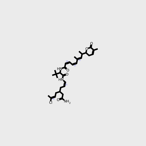 CC1=CCC(C(C)/C=C(C)/C=C\C=C/C(=O)NC(C(=O)N/C=C\CC(C/C=C(\C)Cl)CC(N)=O)C(C)(C)C)OC1=O